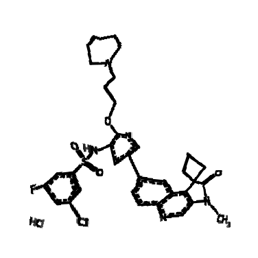 CN1C(=O)C2(CCC2)c2c1cnc1ccc(-c3cnc(OCCCN4CCCCC4)c(NS(=O)(=O)c4cc(F)cc(Cl)c4)c3)cc21.Cl